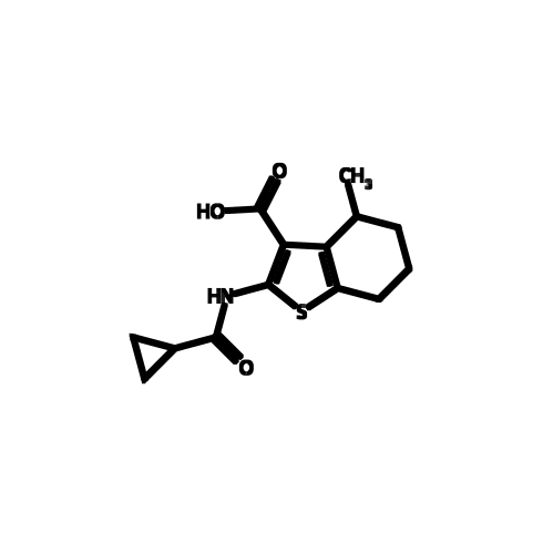 CC1CCCc2sc(NC(=O)C3CC3)c(C(=O)O)c21